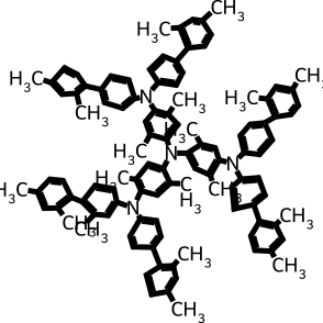 Cc1ccc(-c2ccc(N(c3ccc(-c4ccc(C)cc4C)cc3)c3cc(C)c(N(c4cc(C)c(N(c5ccc(-c6ccc(C)cc6C)cc5)c5ccc(-c6ccc(C)cc6C)cc5)cc4C)c4cc(C)c(N(c5ccc(-c6ccc(C)cc6C)cc5)c5ccc(-c6ccc(C)cc6C)c(C)c5)cc4C)cc3C)cc2)c(C)c1